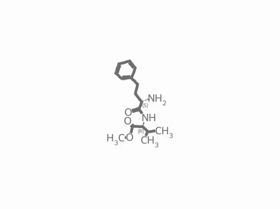 COC(=O)[C@H](NC(=O)[C@@H](N)CCc1ccccc1)C(C)C